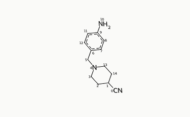 N#CC1CCN(Cc2ccc(N)cc2)CC1